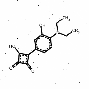 CCN(CC)c1ccc(-c2c(O)c(=O)c2=O)cc1O